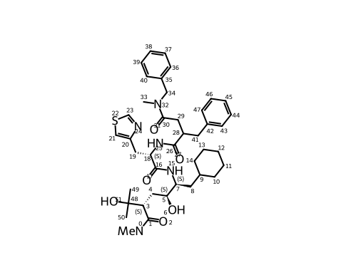 CNC(=O)[C@@H](C[C@H](O)[C@H](CC1CCCCC1)NC(=O)[C@H](Cc1cscn1)NC(=O)C(CC(=O)N(C)Cc1ccccc1)Cc1ccccc1)C(C)(C)O